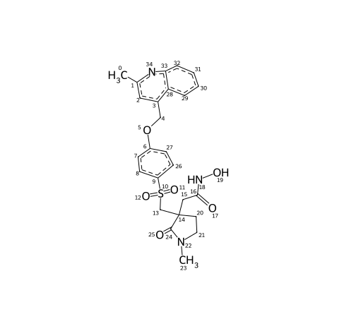 Cc1cc(COc2ccc(S(=O)(=O)CC3(CC(=O)NO)CCN(C)C3=O)cc2)c2ccccc2n1